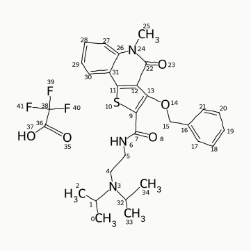 CC(C)N(CCNC(=O)c1sc2c(c1OCc1ccccc1)c(=O)n(C)c1ccccc21)C(C)C.O=C(O)C(F)(F)F